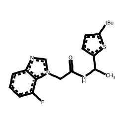 CC(NC(=O)Cn1cnc2cccc(F)c21)c1ccc(C(C)(C)C)s1